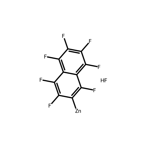 F.Fc1c(F)c(F)c2c(F)[c]([Zn])c(F)c(F)c2c1F